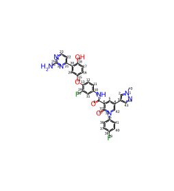 Cn1cc(-c2cc(C(=O)Nc3ccc(Oc4ccc(O)c(-c5ccnc(N)n5)c4)c(F)c3)c(=O)n(-c3ccc(F)cc3)c2)cn1